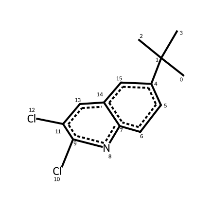 CC(C)(C)c1ccc2nc(Cl)c(Cl)cc2c1